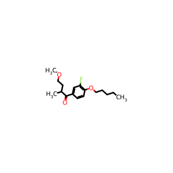 CCCCCOc1ccc(C(=O)C(C)CCOC)cc1F